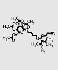 CC(=O)N[C@H]1[C@H](OCCCCOP(OCCC#N)N(C(C)C)C(C)C)O[C@H](COC(C)=O)[C@H](OC(C)=O)[C@@H]1OC(C)=O